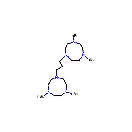 CCCCN1CCN(CCCC)CCN(CCCN2CCN(CCCC)CCN(CCCC)CC2)CC1